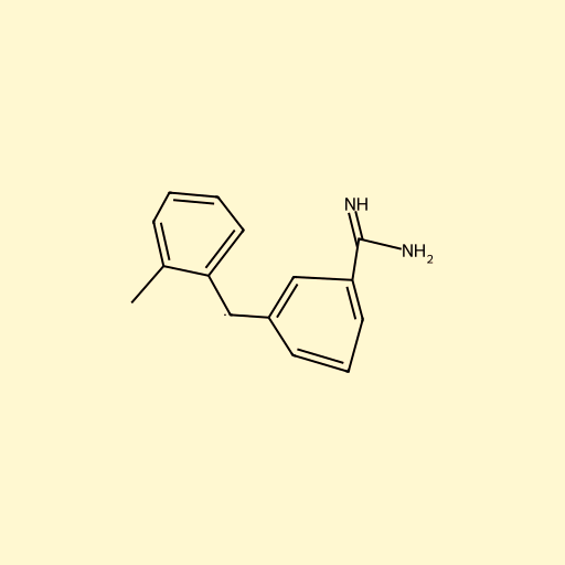 Cc1ccccc1[CH]c1cccc(C(=N)N)c1